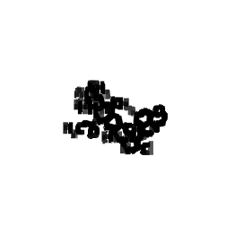 [2H]C([2H])([2H])N(C)CCN(C)c1cc(C)c(Nc2ncc(Cl)c(-c3cn4c5c(cccc35)OCC4)n2)cc1NC(=O)C=C